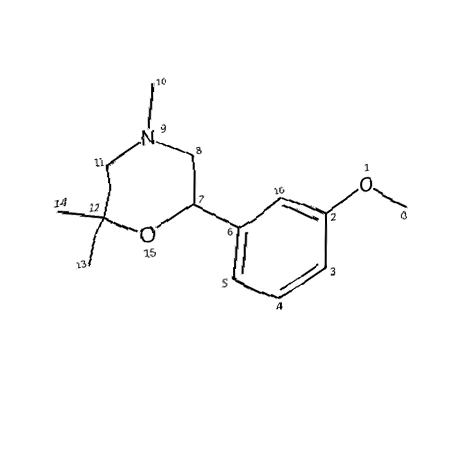 COc1cccc(C2CN(C)CC(C)(C)O2)c1